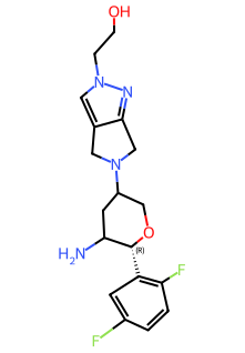 NC1CC(N2Cc3cn(CCO)nc3C2)CO[C@@H]1c1cc(F)ccc1F